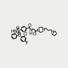 O=C(NCC(=O)N1CCN(CCCN2CCCC2)CC1)c1ccc(S(=O)(=O)Nc2ccccc2Oc2ccc(F)cc2Cl)cc1